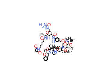 CC[C@H](C)[C@@H]([C@@H](CC(=O)N1CCC[C@H]1[C@H](OC)[C@@H](C)C(=O)N[C@@H](Cc1ccccc1)C(=O)OC)OC)N(C)C(=O)[C@@H](CC(=O)[C@H](C(C)C)N(C)C(=O)OCc1ccc(NC(=O)[C@H](CCCNC(N)=O)CC(=O)[C@@H](NC(=O)CCCCCN2C(=O)C=CC2=O)C(C)C)cc1)C(C)C